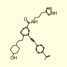 C=C(C)c1ccc(C#Cc2cc(C(=O)NCCCc3cn[nH]c3)ccc2CCC2CCC(O)CC2)cc1